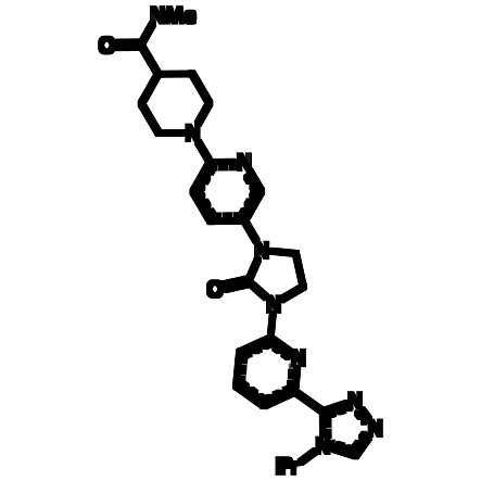 CNC(=O)C1CCN(c2ccc(N3CCN(c4cccc(-c5nncn5C(C)C)n4)C3=O)cn2)CC1